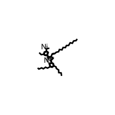 CCCCCCCCCCCCCC=CC1=C(c2cc(CC)cc(CC)c2)[N+](=[N-])C(c2cc(CCCCCC)cc(CCCCCC)c2)=C1.[Ni]